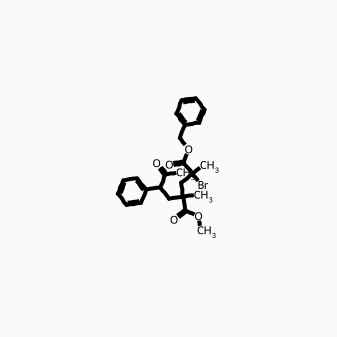 COC(=O)C(C)(CC(C(C)=O)c1ccccc1)CC(C)(Br)C(=O)OCc1ccccc1